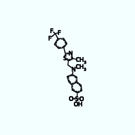 Cc1nc(-c2ccc(C(F)(F)F)cc2)sc1CN(C)c1ccc2cc(S(=O)(=O)O)ccc2c1